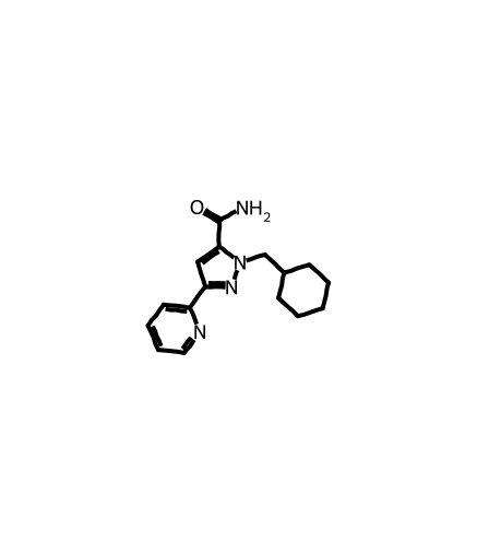 NC(=O)c1cc(-c2ccccn2)nn1CC1CCCCC1